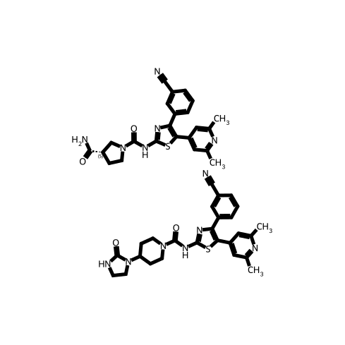 Cc1cc(-c2sc(NC(=O)N3CCC(N4CCNC4=O)CC3)nc2-c2cccc(C#N)c2)cc(C)n1.Cc1cc(-c2sc(NC(=O)N3CC[C@H](C(N)=O)C3)nc2-c2cccc(C#N)c2)cc(C)n1